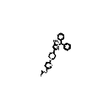 Nc1cc(C2CCN(c3ccc(OC(F)F)cn3)CC2)nn1C(c1ccccc1)c1ccccc1